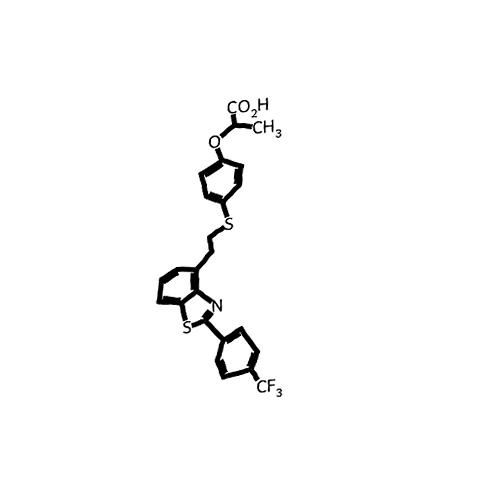 CC(Oc1ccc(SCCc2cccc3sc(-c4ccc(C(F)(F)F)cc4)nc23)cc1)C(=O)O